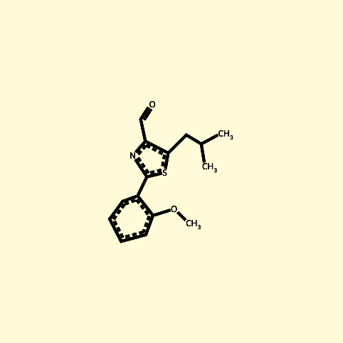 COc1ccccc1-c1nc(C=O)c(CC(C)C)s1